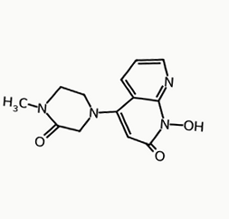 CN1CCN(c2cc(=O)n(O)c3ncccc23)CC1=O